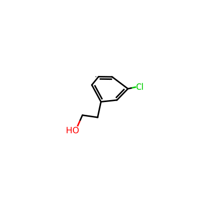 OCCc1c[c]cc(Cl)c1